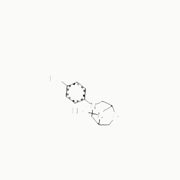 Cc1ccc(N2CC3CN(C)C(CO3)C2)cc1